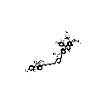 COc1cc2c(cc1OC(C)C)C(c1ccc(Cl)cc1)N(c1ccc(N(C)CC3CCN(CCCCCCc4cccc5c4n(C)c(=O)n5C4CCC(=O)NC4=O)CC3)cc1)C(=O)C2